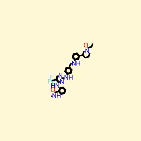 CCC(=O)N1CCCC(c2cccc(NCc3ccc(Nc4ncc(C(F)(F)F)c(Nc5ccccc5C(=O)NC)n4)cc3)c2)C1